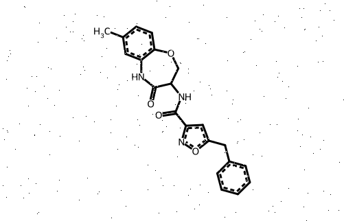 Cc1ccc2c(c1)NC(=O)C(NC(=O)c1cc(Cc3ccccc3)on1)CO2